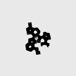 CCOc1cccc2cc([C@H]3c4nc[nH]c4CCN3C(=O)c3ocnc3C(F)F)nn12